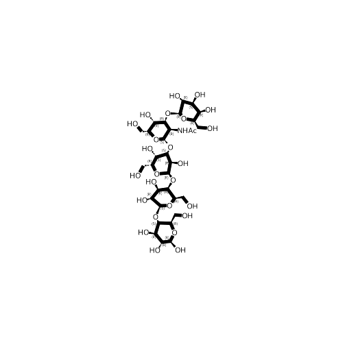 CC(=O)N[C@H]1[C@H](O[C@H]2[C@@H](O)[C@@H](CO)O[C@H](O[C@@H]3[C@H](O)[C@@H](O)[C@H](O[C@H]4[C@H](O)[C@@H](O)[C@H](O)O[C@@H]4CO)O[C@@H]3CO)[C@@H]2O)O[C@H](CO)[C@H](O)[C@@H]1O[C@@H]1O[C@H](CO)[C@H](O)[C@H](O)[C@H]1O